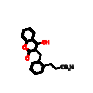 O=C(O)CCc1ccccc1Cc1c(O)c2ccccc2oc1=O